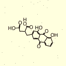 O=C(O)CC(Cc1cc(O)c2c(c1)C(=O)c1cccc(O)c1C2=O)C(=O)O